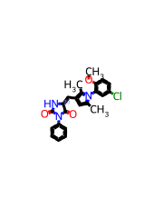 COc1ccc(Cl)cc1-n1c(C)cc(/C=C2/NC(=O)N(c3ccccc3)C2=O)c1C